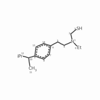 CCN(CS)CCc1ccc(C(C)C(C)C)cc1